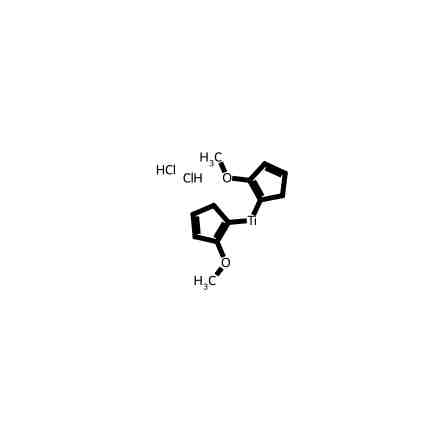 COC1=[C]([Ti][C]2=C(OC)C=CC2)CC=C1.Cl.Cl